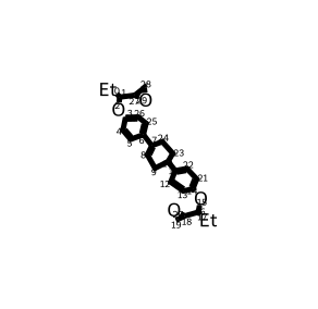 CCC(Oc1ccc(C2=CCC(c3ccc(OC(CC)C4CO4)cc3)CC2)cc1)C1CO1